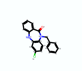 O=C1c2ccccc2Nc2cc(Cl)ccc2N1Cc1ccccc1